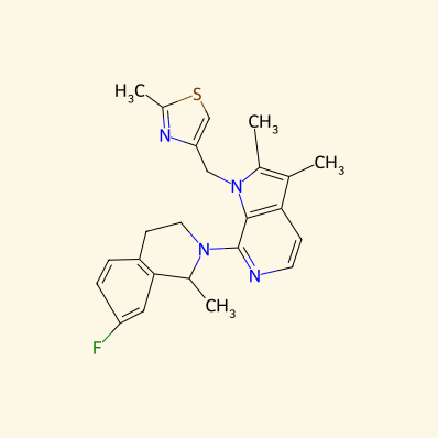 Cc1nc(Cn2c(C)c(C)c3ccnc(N4CCc5ccc(F)cc5C4C)c32)cs1